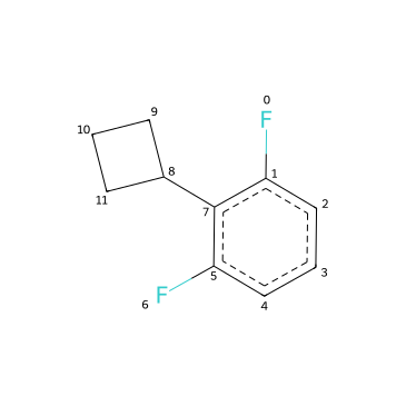 Fc1cccc(F)c1C1CCC1